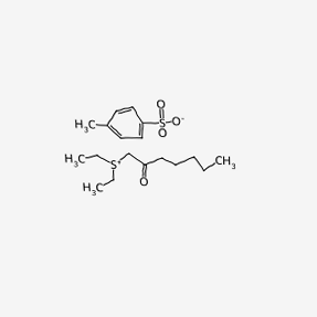 CCCCCC(=O)C[S+](CC)CC.Cc1ccc(S(=O)(=O)[O-])cc1